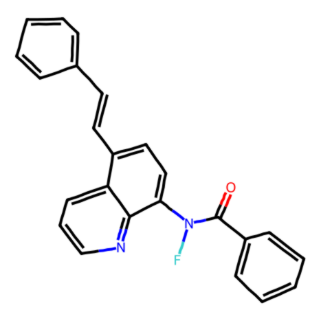 O=C(c1ccccc1)N(F)c1ccc(C=Cc2ccccc2)c2cccnc12